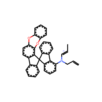 C=CCN(/C=C/C)c1cccc2c1-c1ccccc1C21c2ccccc2-c2ccc3c(c21)Oc1ccccc1O3